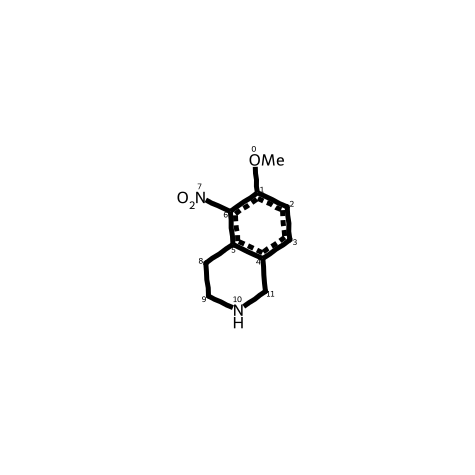 COc1ccc2c(c1[N+](=O)[O-])CCNC2